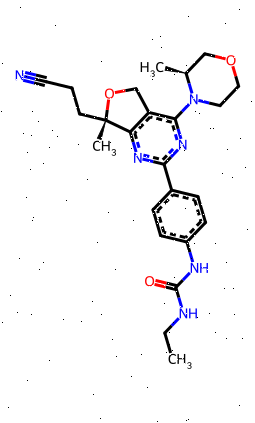 CCNC(=O)Nc1ccc(-c2nc(N3CCOC[C@@H]3C)c3c(n2)[C@](C)(CCC#N)OC3)cc1